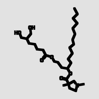 CCCCCCCCCCCCC(CCCOC(=O)CCCCC(CO)CO)OC(=O)C1(C)CCN(C)C1